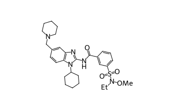 CCN(OC)S(=O)(=O)c1cccc(C(=O)Nc2nc3cc(CN4CCCCC4)ccc3n2C2CCCCC2)c1